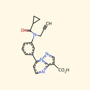 C#CCN(C(=O)C1CC1)c1cccc(-c2ccnc3c(C(=O)O)cnn23)c1